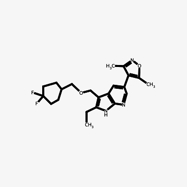 CCc1[nH]c2ncc(-c3c(C)noc3C)cc2c1COCC1CCC(F)(F)CC1